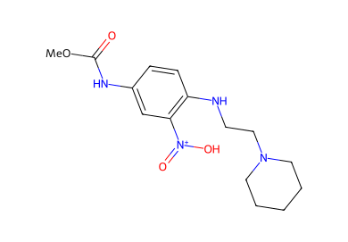 COC(=O)Nc1ccc(NCCN2CCCCC2)c([N+](=O)O)c1